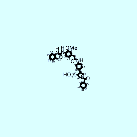 COc1cc(CC(=O)Nc2ccc(C3CN(C(=O)c4ccccc4)CC3C(=O)O)cc2)ccc1NC(=O)Nc1ccccc1C